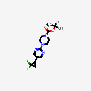 CC(C)(C)OC(=O)N1CCN(c2ncc(C3CC3(F)F)cn2)CC1